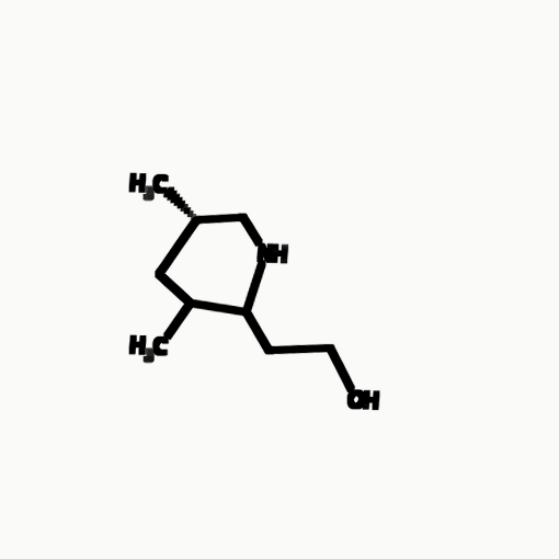 CC1C[C@H](C)CNC1CCO